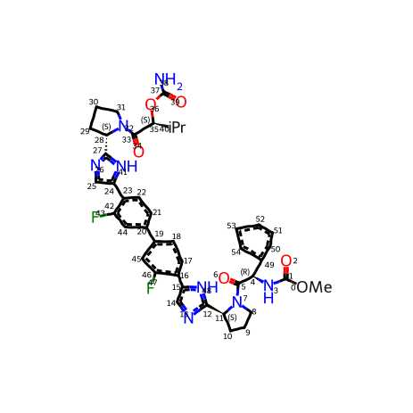 COC(=O)N[C@@H](C(=O)N1CCC[C@H]1c1ncc(-c2ccc(-c3ccc(-c4cnc([C@@H]5CCCN5C(=O)[C@@H](OC(N)=O)C(C)C)[nH]4)c(F)c3)cc2F)[nH]1)c1ccccc1